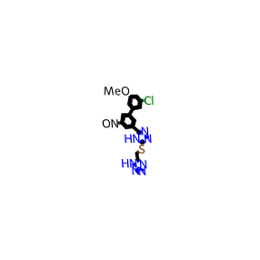 COc1cc(Cl)cc(-c2cc(N=O)cc(-c3nnc(SCc4nnn[nH]4)[nH]3)c2)c1